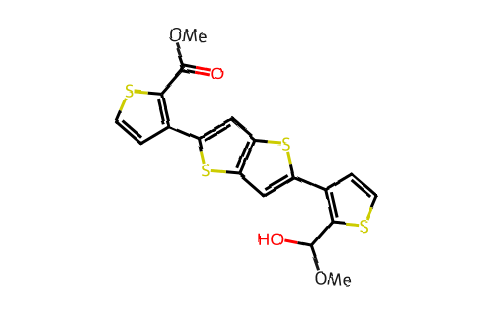 COC(=O)c1sccc1-c1cc2sc(-c3ccsc3C(O)OC)cc2s1